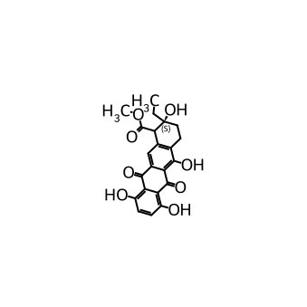 CC[C@]1(O)CCc2c(cc3c(c2O)C(=O)c2c(O)ccc(O)c2C3=O)C1C(=O)OC